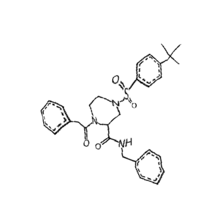 CC(C)(C)c1ccc(S(=O)(=O)N2CCN(C(=O)c3ccccc3)C(C(=O)NCc3ccccc3)C2)cc1